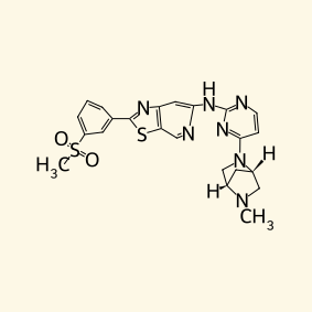 CN1C[C@@H]2C[C@H]1CN2c1ccnc(Nc2cc3nc(-c4cccc(S(C)(=O)=O)c4)sc3cn2)n1